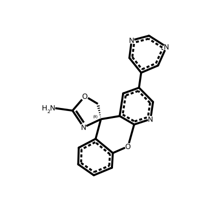 NC1=N[C@]2(CO1)c1ccccc1Oc1ncc(-c3cncnc3)cc12